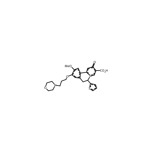 COc1cc2c(cc1OCCCN1CCOCC1)CC(c1cccs1)n1cc(C(=O)O)c(=O)cc1-2